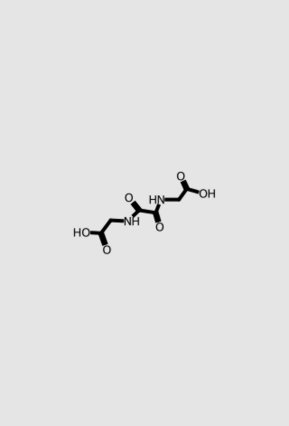 O=C(O)CNC(=O)C(=O)NCC(=O)O